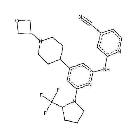 N#Cc1ccnc(Nc2cc(C3CCN(C4COC4)CC3)cc(N3CCCC3C(F)(F)F)n2)c1